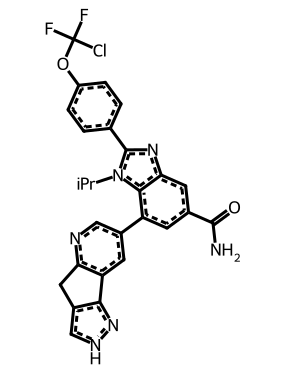 CC(C)n1c(-c2ccc(OC(F)(F)Cl)cc2)nc2cc(C(N)=O)cc(-c3cnc4c(c3)-c3n[nH]cc3C4)c21